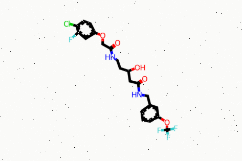 O=C(COc1ccc(Cl)c(F)c1)NCCC(O)CC(=O)NCc1cccc(OC(F)(F)F)c1